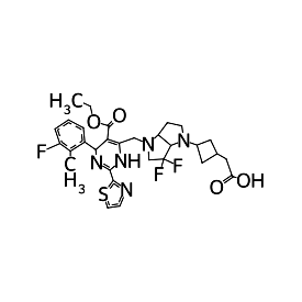 CCOC(=O)C1=C(CN2CC(F)(F)C3C2CCN3C2CC(CC(=O)O)C2)NC(c2nccs2)=NC1c1cccc(F)c1C